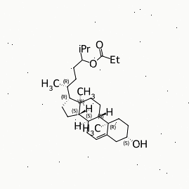 CCC(=O)OC(CC[C@@H](C)[C@H]1CC[C@H]2[C@@H]3CC=C4C[C@@H](O)CC[C@]4(C)[C@H]3CC[C@]12C)C(C)C